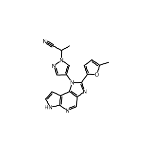 Cc1ccc(-c2nc3cnc4[nH]ccc4c3n2-c2cnn(C(C)C#N)c2)o1